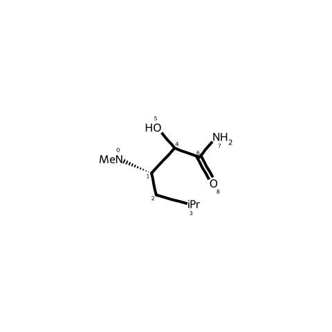 CN[C@@H](CC(C)C)C(O)C(N)=O